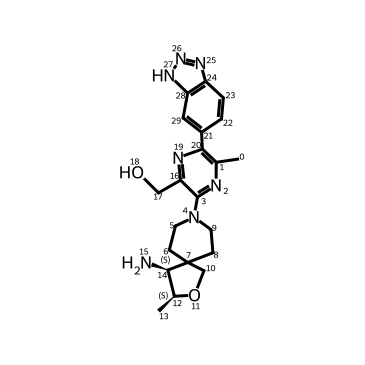 Cc1nc(N2CCC3(CC2)CO[C@@H](C)[C@H]3N)c(CO)nc1-c1ccc2nn[nH]c2c1